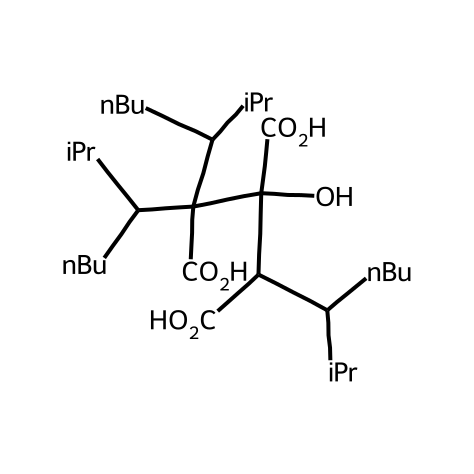 CCCCC(C(C)C)C(C(=O)O)C(O)(C(=O)O)C(C(=O)O)(C(CCCC)C(C)C)C(CCCC)C(C)C